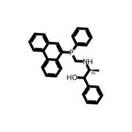 C[C@H](NCP(c1ccccc1)c1cc2ccccc2c2ccccc12)C(O)c1ccccc1